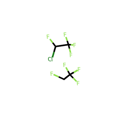 FC(Cl)C(F)(F)F.FCC(F)(F)F